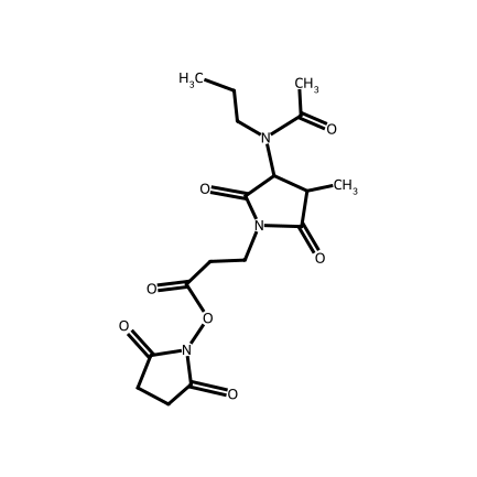 CCCN(C(C)=O)C1C(=O)N(CCC(=O)ON2C(=O)CCC2=O)C(=O)C1C